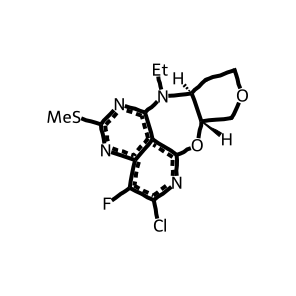 CCN1c2nc(SC)nc3c(F)c(Cl)nc(c23)O[C@H]2COCC[C@@H]21